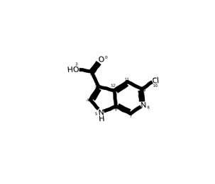 O=C(O)c1c[nH]c2cnc(Cl)cc12